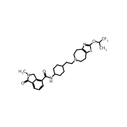 CC(Oc1nc2c(s1)CCN(CCC1CCC(NC(=O)c3cccc4c3CN(C)C4=O)CC1)CC2)C(F)(F)F